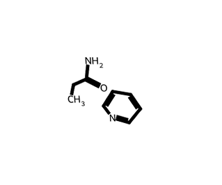 CCC(N)=O.c1ccncc1